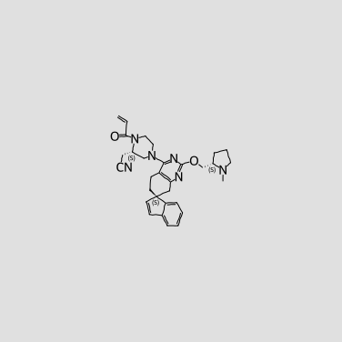 C=CC(=O)N1CCN(c2nc(OC[C@@H]3CCCN3C)nc3c2CC[C@@]2(C=Cc4ccccc42)C3)C[C@@H]1CC#N